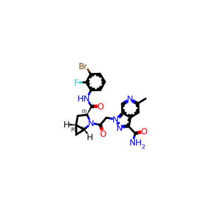 Cc1cc2c(C(N)=O)nn(CC(=O)N3[C@@H]4C[C@@H]4C[C@H]3C(=O)Nc3cccc(Br)c3F)c2cn1